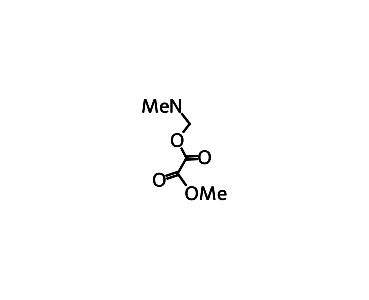 CNCOC(=O)C(=O)OC